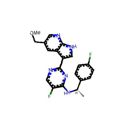 COCc1cnc2[nH]cc(-c3ncc(F)c(N[C@@H](C)c4ccc(F)cc4)n3)c2c1